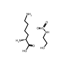 NCCCC[C@H](N)C(=O)O.O=[SH](=O)NCCO